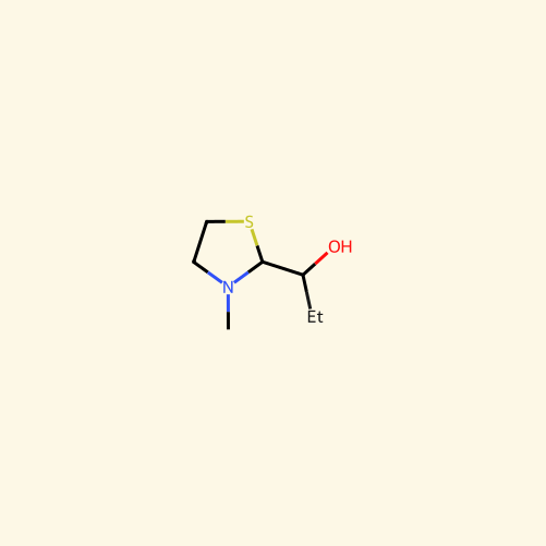 CCC(O)C1SCCN1C